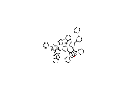 c1ccc(-c2cccc(-c3cc(-c4cccc(-c5ccccc5)c4)cc(C4(c5cc(-c6cccc(-c7ccccc7)c6)cc(-c6cccc(-c7ccccc7)c6)c5)c5ccccc5-c5ccc(-c6nc(-c7ccccc7)nc(-c7ccccc7)n6)cc54)c3)c2)cc1